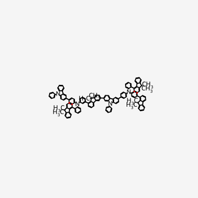 CC1(C)c2ccccc2-c2c(-c3ccccc3N(c3ccc(-c4ccc5c(c4)c4ccc(-c6ccc7c(c6)-c6cccc(-c8cccc(N(c9ccc(-c%10ccc%11c(c%10)c%10ccccc%10n%11-c%10ccccc%10)cc9)c9ccccc9-c9cccc%10c9-c9ccccc9C%10(C)C)c8)c6C7(C)C)cc4n5-c4ccccc4)cc3)c3ccc(-c4cccc5c4C(C)(C)c4ccccc4-5)cc3)cccc21